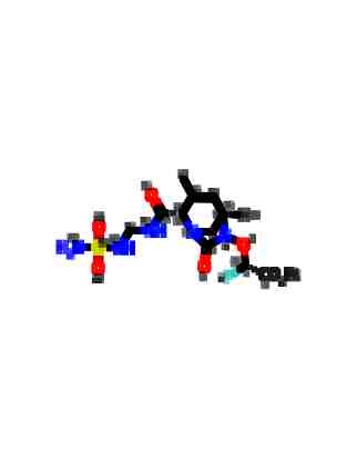 CCOC(=O)[C@H](F)ON1C(=O)N2C[C@@H]1C=C(C)[C@H]2C(=O)NCNS(N)(=O)=O